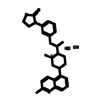 Cc1ccc2c(N3CCN(C(C)Cc4cccc(N5CCOC5=O)c4)[C@H](C)C3)cccc2n1.Cl.Cl